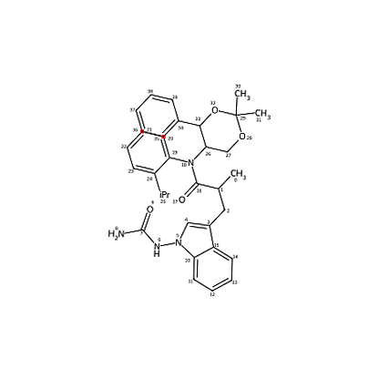 CC(Cc1cn(NC(N)=O)c2ccccc12)C(=O)N(c1ccccc1C(C)C)C1COC(C)(C)OC1c1ccccc1